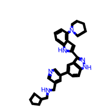 c1cc(N2CCCCC2)c2cc(-c3n[nH]c4ccc(-c5cncc(CNCC6CCCC6)c5)cc34)[nH]c2c1